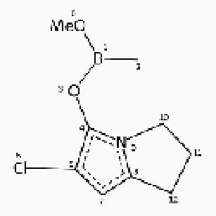 COB(C)Oc1c(Cl)cc2n1CCC2